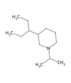 CCC(CC)C1CCCN(C(C)C)C1